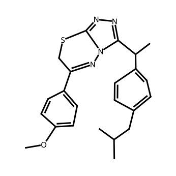 COc1ccc(C2=Nn3c(nnc3C(C)c3ccc(CC(C)C)cc3)SC2)cc1